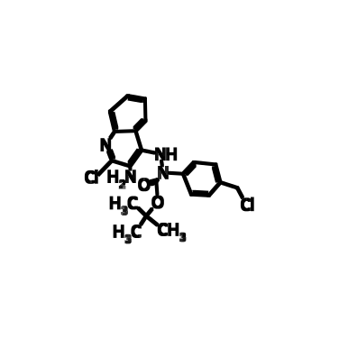 CC(C)(C)OC(=O)N(Nc1c(N)c(Cl)nc2ccccc12)c1ccc(CCl)cc1